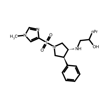 CCCC(O)CN[C@H]1CN(S(=O)(=O)c2cn(C)cn2)C[C@@H]1c1ccccc1